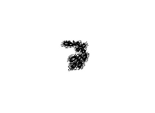 c1ccc(-c2cc(-c3cccc(-c4c5ccccc5c(-c5cccc(-c6ccc7ccccc7n6)c5)c5ccccc45)c3)c(-c3ccccc3)c(-c3ccccc3)c2-c2ccccc2)cc1